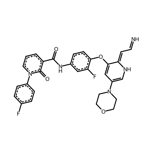 N=C/C=C1\NC=C(N2CCOCC2)C=C1Oc1ccc(NC(=O)c2cccn(-c3ccc(F)cc3)c2=O)cc1F